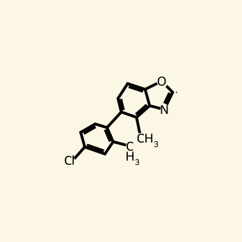 Cc1cc(Cl)ccc1-c1ccc2o[c]nc2c1C